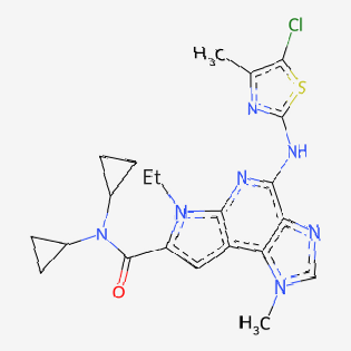 CCn1c(C(=O)N(C2CC2)C2CC2)cc2c3c(ncn3C)c(Nc3nc(C)c(Cl)s3)nc21